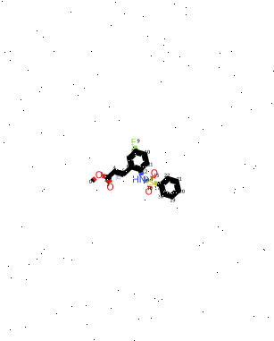 COC(=O)/C=C/c1cc(F)ccc1NS(=O)(=O)c1ccccc1